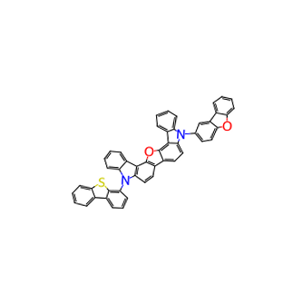 c1ccc2c(c1)oc1ccc(-n3c4ccccc4c4c5oc6c(ccc7c6c6ccccc6n7-c6cccc7c6sc6ccccc67)c5ccc43)cc12